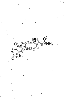 CCC1(O)C(=O)OCc2c1cc1n(c2=O)Cc2cc3c(N)c(C=CC(N)=O)ccc3nc2-1